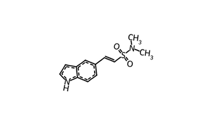 CN(C)S(=O)(=O)C=Cc1ccc2[nH]ccc2c1